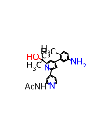 CC(=O)Nc1cc(-c2cc(-c3cc(N)ccc3C)cc(C(C)(C)O)n2)ccn1